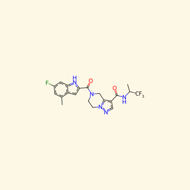 Cc1cc(F)cc2[nH]c(C(=O)N3CCn4ncc(C(=O)NC(C)C(F)(F)F)c4C3)cc12